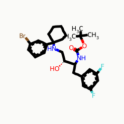 CC(C)(C)OC(=O)NC(Cc1cc(F)cc(F)c1)[C@H](O)CNC1(c2cccc(Br)c2)CCCCC1